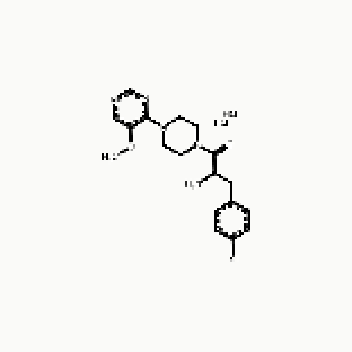 COc1cncnc1N1CCN(C(=O)C(N)Cc2ccc(Cl)cc2)CC1.Cl.Cl